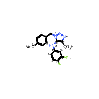 COc1ccc(Cn2nnc(C(=O)O)c2Nc2ccc(F)c(F)c2)cc1